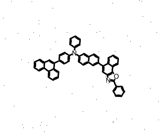 c1ccc(-c2nc3cc(-c4ccc5cc(N(c6ccccc6)c6ccc(-c7cc8ccccc8c8ccccc78)cc6)ccc5c4)c4ccccc4c3o2)cc1